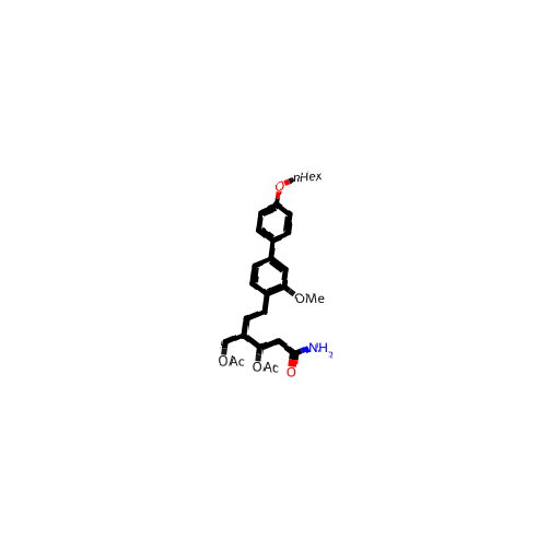 CCCCCCOc1ccc(-c2ccc(CCC(COC(C)=O)C(CC(N)=O)OC(C)=O)c(OC)c2)cc1